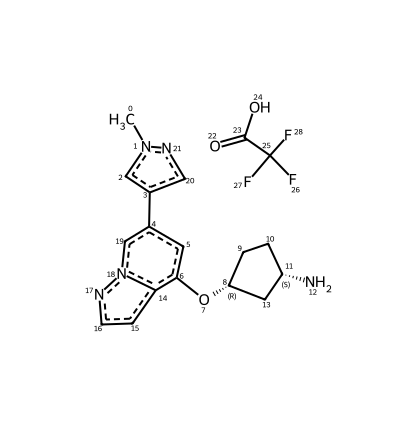 Cn1cc(-c2cc(O[C@@H]3CC[C@H](N)C3)c3ccnn3c2)cn1.O=C(O)C(F)(F)F